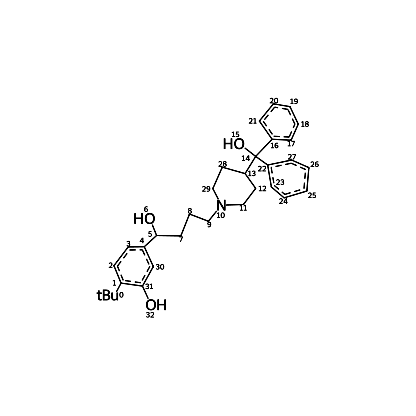 CC(C)(C)c1ccc(C(O)CCCN2CCC(C(O)(c3ccccc3)c3ccccc3)CC2)cc1O